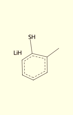 Cc1ccccc1S.[LiH]